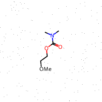 COCCOC(=O)N(C)C